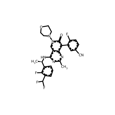 Cc1nc(N[C@H](C)c2cccc(C(F)F)c2F)c2cn(N3CCOCC3)c(=O)c(-c3cc(C#N)ccc3F)c2n1